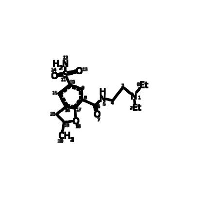 CCN(CC)CCNC(=O)c1cc(S(N)(=O)=O)cc2c1OC(C)C2